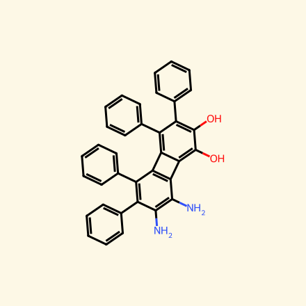 Nc1c(N)c2c(c(-c3ccccc3)c1-c1ccccc1)-c1c-2c(O)c(O)c(-c2ccccc2)c1-c1ccccc1